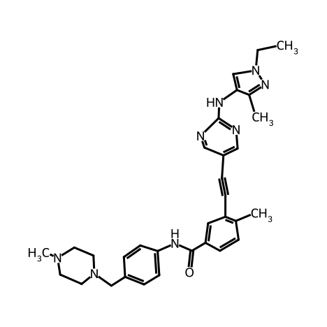 CCn1cc(Nc2ncc(C#Cc3cc(C(=O)Nc4ccc(CN5CCN(C)CC5)cc4)ccc3C)cn2)c(C)n1